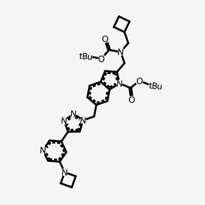 CC(C)(C)OC(=O)N(Cc1cc2ccc(Cn3cc(-c4cncc(N5CCC5)c4)nn3)cc2n1C(=O)OC(C)(C)C)CC1CCC1